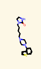 O=C1NCCN1CCCCCN1CCN(c2cccc3sccc23)CC1